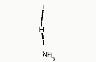 I[IH]I.N